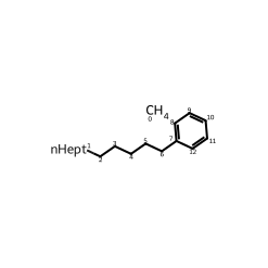 C.CCCCCCCCCCCCc1ccccc1